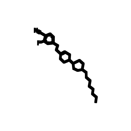 CCCCCCCCC1CCC(C2CC=C(CCc3ccc(C#N)c(F)c3)CC2)CC1